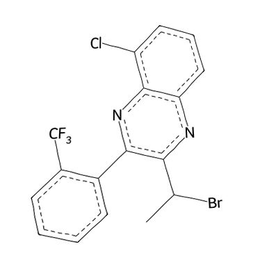 CC(Br)c1nc2cccc(Cl)c2nc1-c1ccccc1C(F)(F)F